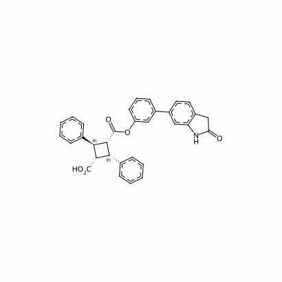 O=C1Cc2ccc(-c3cccc(OC(=O)[C@H]4[C@H](c5ccccc5)[C@@H](C(=O)O)[C@H]4c4ccccc4)c3)cc2N1